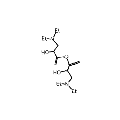 C=C(OC(=C)C(O)CN(CC)CC)C(O)CN(CC)CC